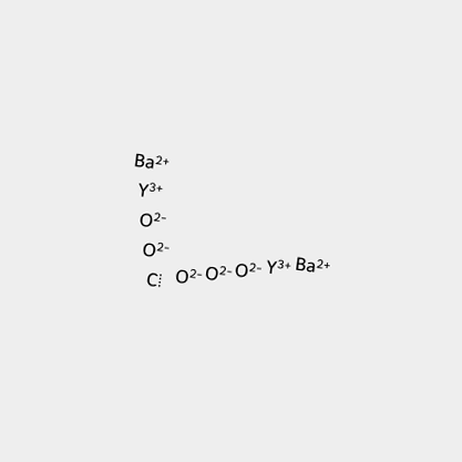 [Ba+2].[Ba+2].[C].[O-2].[O-2].[O-2].[O-2].[O-2].[Y+3].[Y+3]